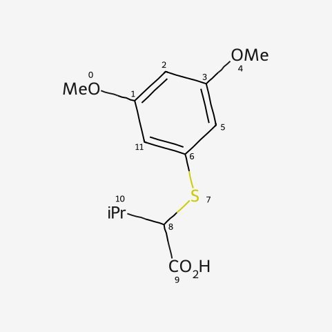 COc1cc(OC)cc(SC(C(=O)O)C(C)C)c1